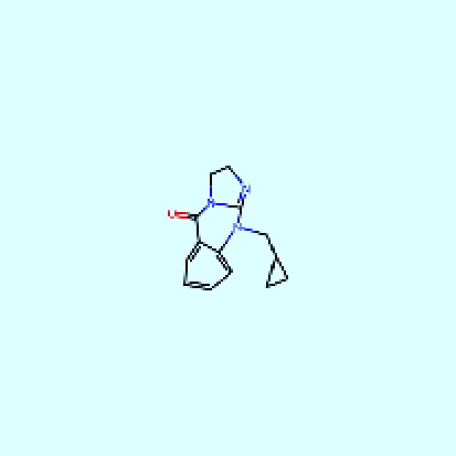 O=C1c2ccccc2N(CC2CC2)C2=NCCN12